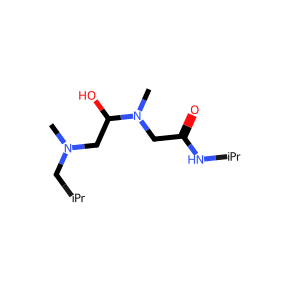 CC(C)CN(C)CC(O)N(C)CC(=O)NC(C)C